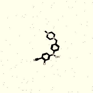 CN1CCN(Cc2ccc(B(O)c3ccc(C#N)c(Cl)c3)cc2)CC1